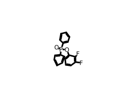 O=P(Oc1cccc(F)c1F)(c1ccccc1)c1ccccc1